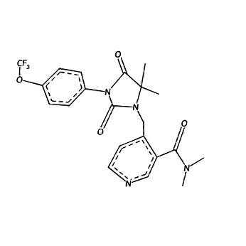 CN(C)C(=O)c1cnccc1CN1C(=O)N(c2ccc(OC(F)(F)F)cc2)C(=O)C1(C)C